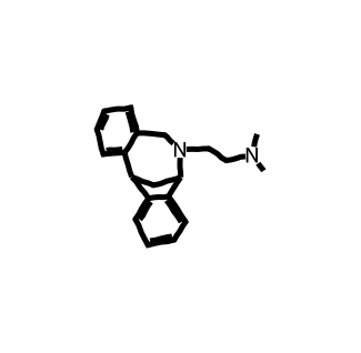 CN(C)CCN1Cc2ccccc2C2CC1c1ccccc12